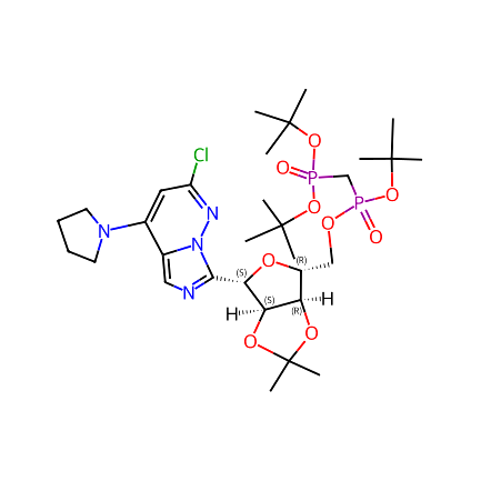 CC(C)(C)OP(=O)(CP(=O)(OC(C)(C)C)OC(C)(C)C)OC[C@H]1O[C@@H](c2ncc3c(N4CCCC4)cc(Cl)nn23)[C@@H]2OC(C)(C)O[C@@H]21